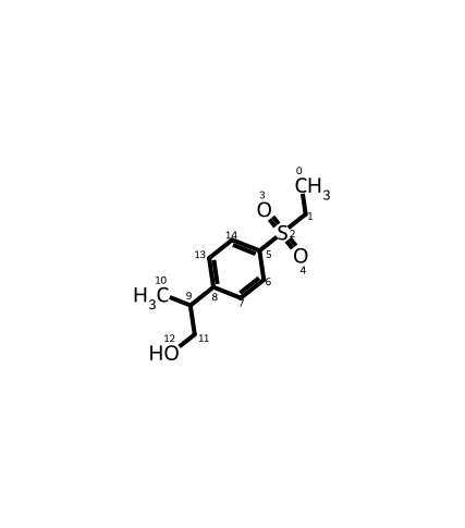 CCS(=O)(=O)c1ccc(C(C)CO)cc1